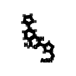 CC(=O)NCC1CCN(C(=O)Nc2cc(-c3cccs3)ccc2N)C1